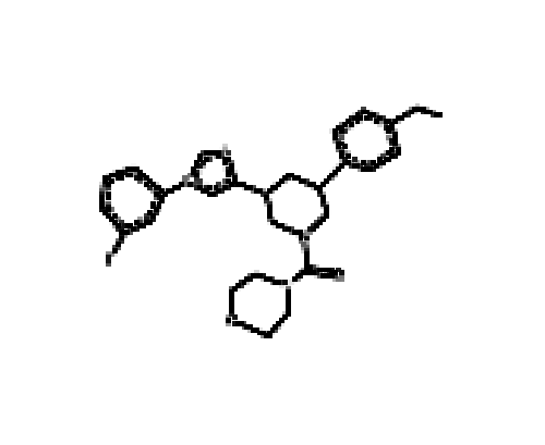 CCc1ccc(C2CC(c3cn(-c4cccc(F)c4)cn3)CN(C(=O)N3CCOCC3)C2)cc1